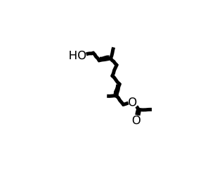 CC(=O)OCC(C)=CCCC(C)=CCO